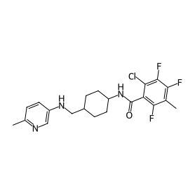 Cc1ccc(NCC2CCC(NC(=O)c3c(F)c(C)c(F)c(F)c3Cl)CC2)cn1